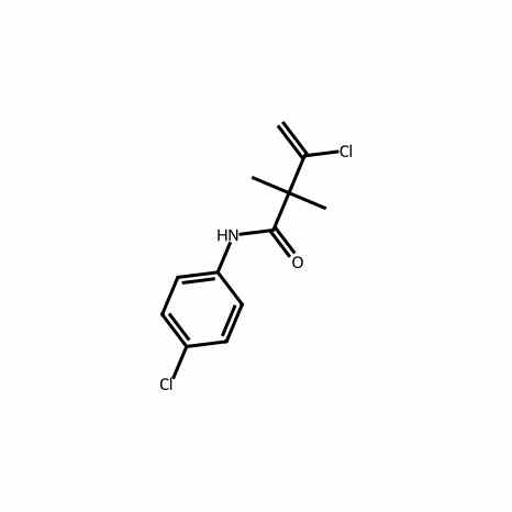 C=C(Cl)C(C)(C)C(=O)Nc1ccc(Cl)cc1